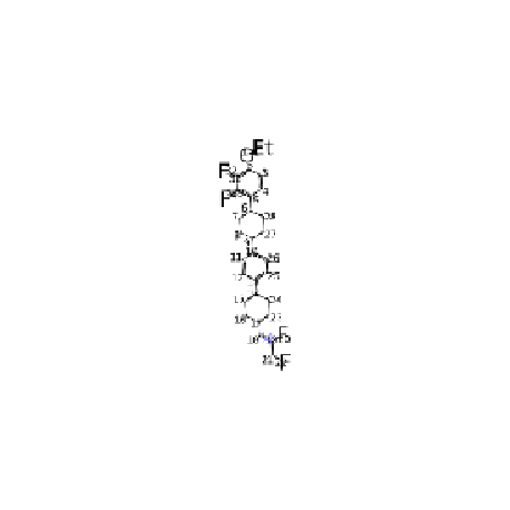 CCOc1ccc(C2CCC(c3ccc(C4CCC(/C=C(\F)CF)CC4)cc3)CC2)c(F)c1F